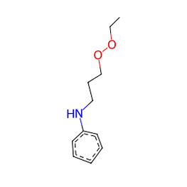 CCOOCCCNc1ccccc1